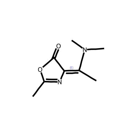 CC1=N/C(=C(\C)N(C)C)C(=O)O1